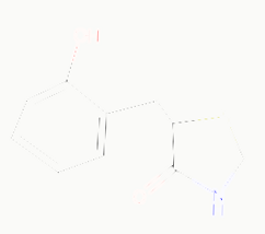 O=C1NCSC1Cc1ccccc1O